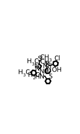 C=C(NCc1ccccc1Sc1ccc2nnc(-c3cc(Cl)ccc3O)n2c1)Nc1cc(C(C)(C)SC)nn1-c1cccc(C)c1